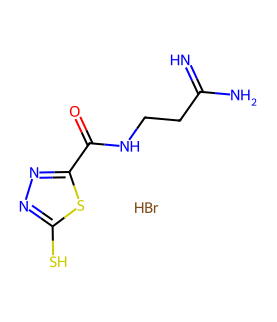 Br.N=C(N)CCNC(=O)c1nnc(S)s1